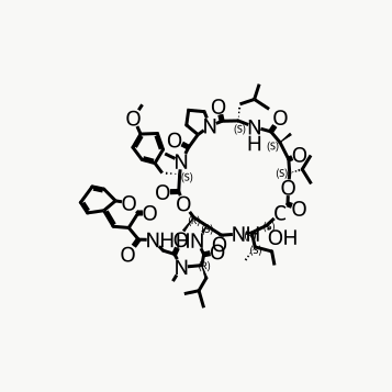 CC[C@H](C)[C@H]1NC(=O)[C@@H](NC(=O)[C@@H](CC(C)C)N(C)C(=O)CNC(=O)C2C=C3C=CC=CC3OC2=O)[C@@H](C)OC(=O)[C@H](Cc2ccc(OC)cc2)N(C)C(=O)C2CCCN2C(=O)[C@H](CC(C)C)NC(=O)[C@@H](C)C(=O)[C@H](C(C)C)OC(=O)C[C@@H]1O